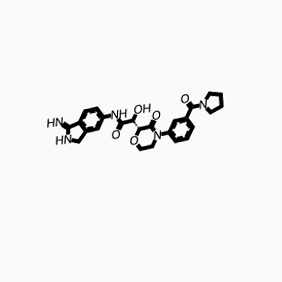 N=C1NCc2cc(NC(=O)C(O)[C@H]3OCCN(c4cccc(C(=O)N5CCCC5)c4)C3=O)ccc21